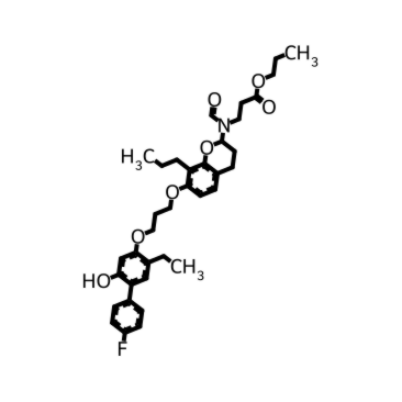 CCCOC(=O)CCN(C=O)C1CCc2ccc(OCCCOc3cc(O)c(-c4ccc(F)cc4)cc3CC)c(CCC)c2O1